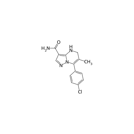 CC1=C(c2ccc(Cl)cc2)n2ncc(C(N)=O)c2NC1